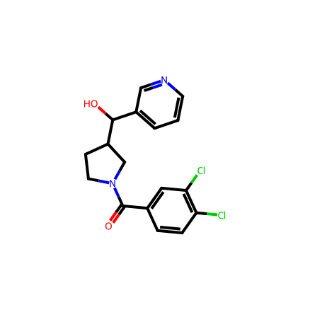 O=C(c1ccc(Cl)c(Cl)c1)N1CCC(C(O)c2cccnc2)C1